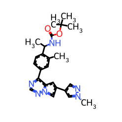 Cc1cc(-c2ncnn3cc(-c4cnn(C)c4)cc23)ccc1C(C)NC(=O)OC(C)(C)C